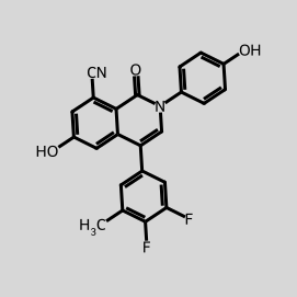 Cc1cc(-c2cn(-c3ccc(O)cc3)c(=O)c3c(C#N)cc(O)cc23)cc(F)c1F